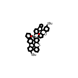 CC(C)(C)c1ccc2c(c1)C1(c3cc(C(C)(C)C)ccc3O2)c2ccccc2-c2ccc(N(c3ccccc3)c3ccc4c(c3)C3(c5ccccc5S4)c4cc(C(C)(C)C)ccc4-c4ccc(C(C)(C)C)cc43)cc21